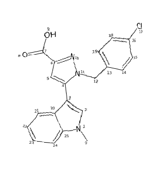 Cn1cc(-c2cc(C(=O)O)nn2Cc2ccc(Cl)cc2)c2ccccc21